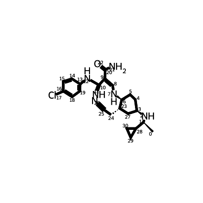 C[C@H](N[C@@H]1CC[C@H](N/C=C(\C(=N)Nc2ccc(Cl)cc2)C(N)=O)[C@@H](CC#N)C1)C1CC1